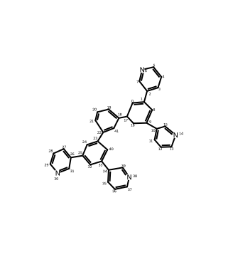 C1=C(c2cccnc2)C=C(c2cccnc2)CC1c1cccc(-c2cc(-c3cccnc3)cc(-c3cccnc3)c2)c1